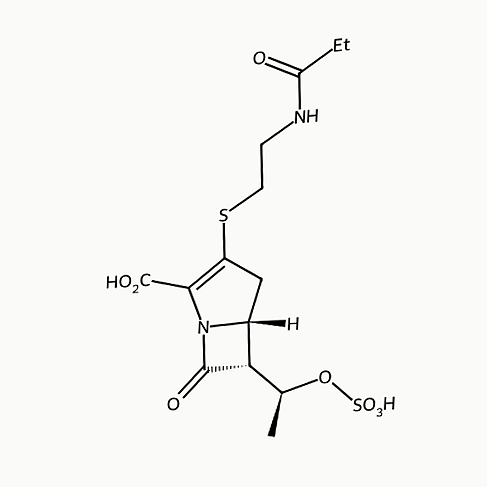 CCC(=O)NCCSC1=C(C(=O)O)N2C(=O)[C@@H]([C@H](C)OS(=O)(=O)O)[C@H]2C1